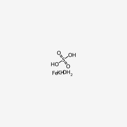 O.O=S(=O)(O)O.[Fe].[KH]